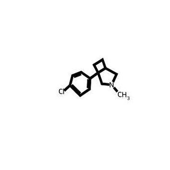 CN1CC2CCC2(c2ccc(Cl)cc2)C1